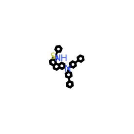 c1ccc(-c2ccc(N(c3ccc(-c4ccccc4)cc3)c3ccc4c(ccc5ccc6c(c54)NC(c4ccccc4)S6)c3)cc2)cc1